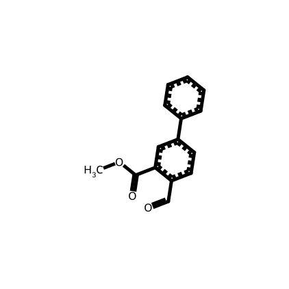 COC(=O)c1cc(-c2ccccc2)ccc1C=O